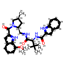 COc1cccc2cc(C(=O)N3C[C@@H](C)C[C@H]3CNC(=O)[C@@H](NC(=O)c3cc4ccccc4[nH]3)C(C)(C)C)[nH]c12